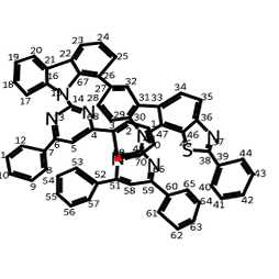 c1ccc(-c2cc(-c3ccccc3)nc(-n3c4ccccc4c4cccc(-c5ccc6c(c5)c5ccc7nc(-c8ccccc8)sc7c5n6-c5nc(-c6ccccc6)cc(-c6ccccc6)n5)c43)n2)cc1